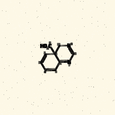 O=C(O)C12C=CC=CC1=NC=NC2